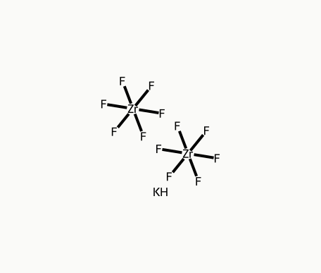 [F][Zr]([F])([F])([F])([F])[F].[F][Zr]([F])([F])([F])([F])[F].[KH]